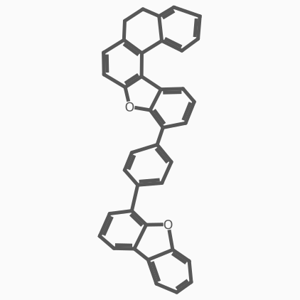 c1ccc2c(c1)CCc1ccc3oc4c(-c5ccc(-c6cccc7c6oc6ccccc67)cc5)cccc4c3c1-2